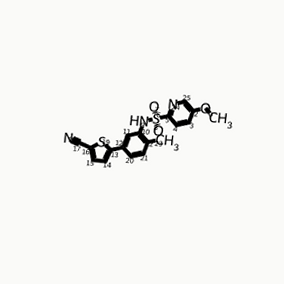 COc1ccc(S(=O)(=O)Nc2cc(-c3ccc(C#N)s3)ccc2C)nc1